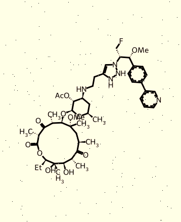 CC[C@H]1OC(=O)[C@H](C)C(=O)[C@H](C)[C@@H](O[C@@H]2O[C@H](C)C[C@H](NCCC3=CN([C@H](CF)[C@H](OC)c4ccc(-c5cccnc5)cc4)NN3)[C@H]2OC(C)=O)[C@](C)(OC)C[C@@H](C)C(=O)[C@H](C)[C@@H](O)[C@]1(C)O